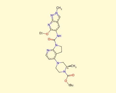 CCOc1nc2nn(C)cc2cc1NC(=O)N1CCc2c(N3CCN(C(=O)OC(C)(C)C)[C@H](C)C3)ccnc21